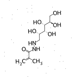 C=C(C)C(=O)NNC[C@H](O)[C@@H](O)[C@H](O)[C@H](O)CO